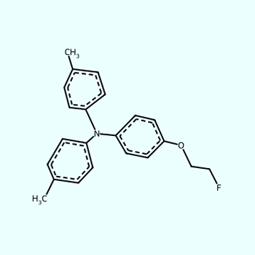 Cc1ccc(N(c2ccc(C)cc2)c2ccc(OCCF)cc2)cc1